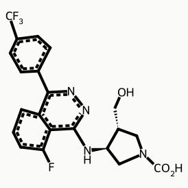 O=C(O)N1C[C@@H](CO)[C@H](Nc2nnc(-c3ccc(C(F)(F)F)cc3)c3cccc(F)c23)C1